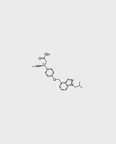 CC#C[C@@H](CC(=O)O)c1ccc(OCc2cccc3c2cnn3CC(C)C)cc1